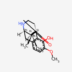 COc1ccc2c(c1O)[C@]13CCN[C@H](C2)[C@@H]1[C@@H](C)[C@H](C)C(=O)C3